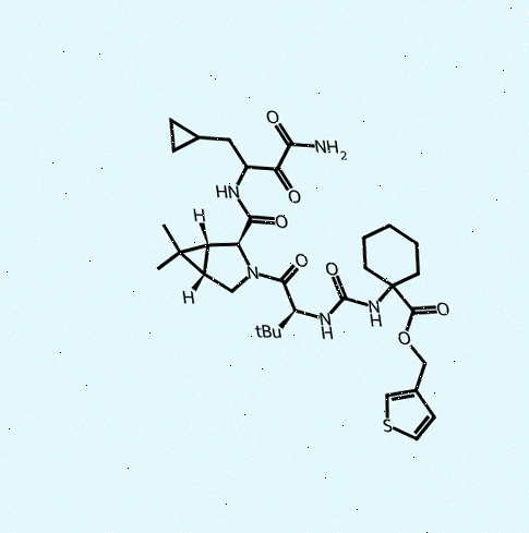 CC(C)(C)[C@H](NC(=O)NC1(C(=O)OCc2ccsc2)CCCCC1)C(=O)N1C[C@H]2[C@@H]([C@H]1C(=O)NC(CC1CC1)C(=O)C(N)=O)C2(C)C